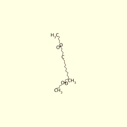 CCCCCOC(=O)CCCCCCCCCCCCCCCC(C)CC(=O)OCCCCC